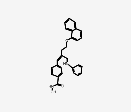 O=C(NO)c1ccc(/C=C(/CCOc2cccc3ccccc23)CNc2ccccc2)cc1